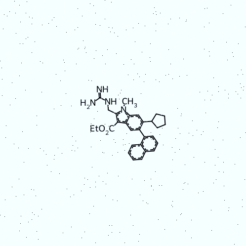 CCOC(=O)c1c(CNC(=N)N)n(C)c2cc(C3CCCC3)c(-c3cccc4ccccc34)cc12